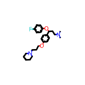 CN(C)CCC(Oc1ccc(F)cc1)c1ccc(OCCCN2CCCCC2)cc1